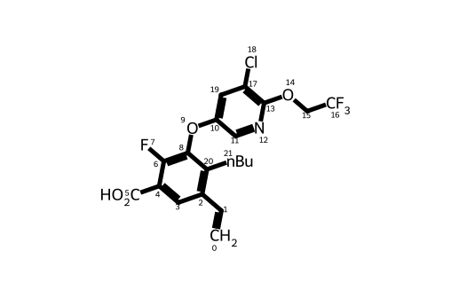 C=Cc1cc(C(=O)O)c(F)c(Oc2cnc(OCC(F)(F)F)c(Cl)c2)c1CCCC